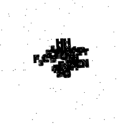 CC(C)CN(NC(=O)Nc1ccc(C(F)(F)F)cc1)c1ccnc(C#N)n1.O=C(O)C(F)(F)F